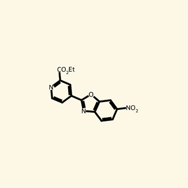 CCOC(=O)c1cc(-c2nc3ccc([N+](=O)[O-])cc3o2)ccn1